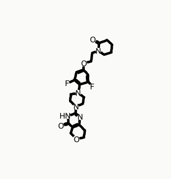 O=C1CCCCN1CCOc1cc(F)c(N2CCN(c3nc4c(c(=O)[nH]3)COCC4)CC2)c(F)c1